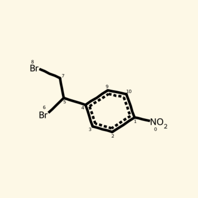 O=[N+]([O-])c1ccc(C(Br)CBr)cc1